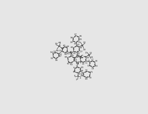 CC(C)(C)c1ccc(N2c3cc(-c4ccccc4)c(C(C)(C)C)cc3B3c4cc(C(C)(C)C)c(-c5ccccc5)cc4N(c4ccc(C(C)(C)C)c(-c5ccccc5)c4)c4cccc2c43)cc1-c1ccccc1